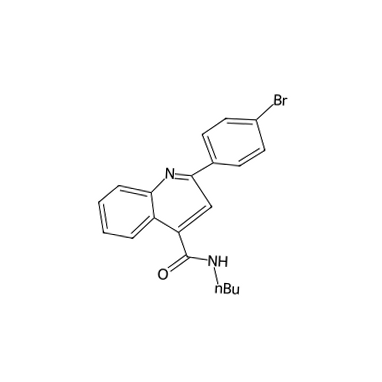 CCCCNC(=O)c1cc(-c2ccc(Br)cc2)nc2ccccc12